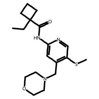 CCC1(C(=O)Nc2cc(CN3CCOCC3)c(SC)cn2)CCC1